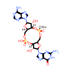 COP1(=O)OCC2O[C@@H](n3cnc4c(=O)[nH]c(N)nc43)[C@H](O)[C@@H]2OP(=O)(O)OC[C@H]2O[C@@H](n3cnc4c(N)ncnc43)[C@H](O)[C@@H]2O1